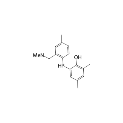 CNCc1cc(C)ccc1Pc1cc(C)cc(C)c1O